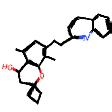 Cc1cc(CCc2ccc3ccccc3n2)c(C)c2c1C(O)CC1(CCC1)O2